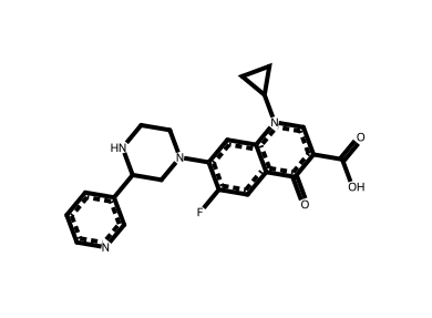 O=C(O)c1cn(C2CC2)c2cc(N3CCNC(c4cccnc4)C3)c(F)cc2c1=O